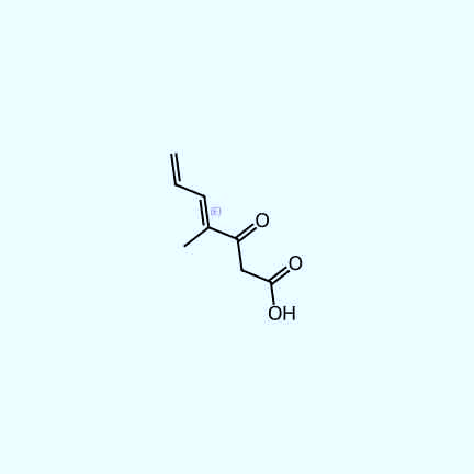 C=C/C=C(\C)C(=O)CC(=O)O